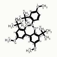 COc1ccc(-p2oc3c(C(C)(C)C)cc(OC)cc3c3cc(OC)cc(C(C)(C)C)c3o2)c(C(C)(C)C)c1